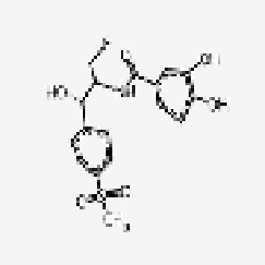 CS(=O)(=O)c1ccc([C@H](O)C(CF)NC(=O)c2ccc(O)c(O)c2)cc1